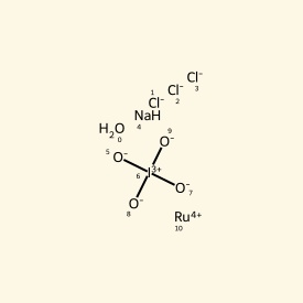 O.[Cl-].[Cl-].[Cl-].[NaH].[O-][I+3]([O-])([O-])[O-].[Ru+4]